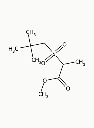 COC(=O)C(C)S(=O)(=O)CC(C)(C)C